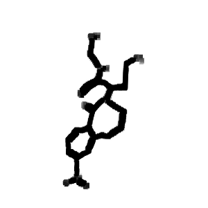 CCCC(C(=O)NCO)N1CCCC2=CC([N+](=O)[O-])=CC=CC2C1=O